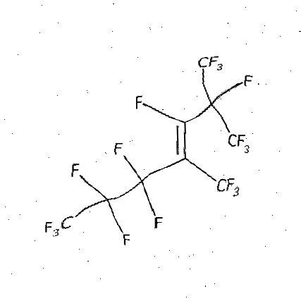 FC(=C(C(F)(F)F)C(F)(F)C(F)(F)C(F)(F)F)C(F)(C(F)(F)F)C(F)(F)F